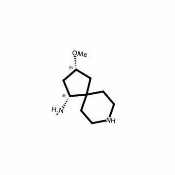 CO[C@H]1C[C@@H](N)C2(CCNCC2)C1